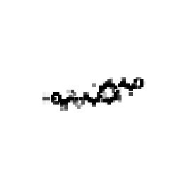 [O]CCN1CCN(CCOCCO)CC1